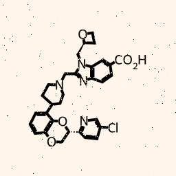 O=C(O)c1ccc2nc(CN3CCC(c4cccc5c4O[C@H](c4ccc(Cl)cn4)CO5)CC3)n(C[C@@H]3CCO3)c2c1